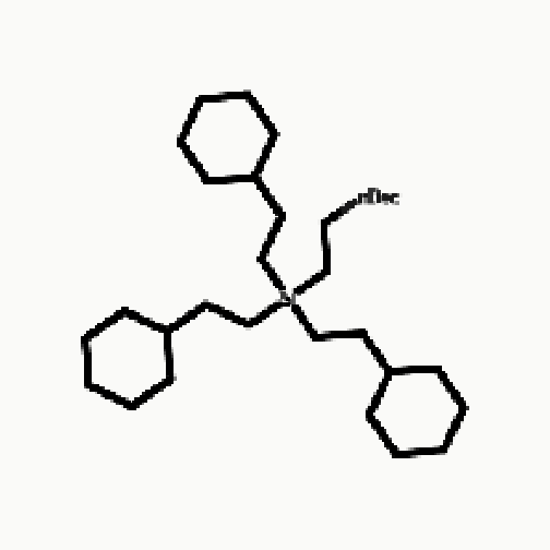 CCCCCCCCCCCC[Si](CCC1CCCCC1)(CCC1CCCCC1)CCC1CCCCC1